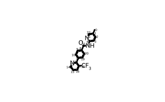 Cc1ccc(NC(=O)c2ccc(-c3ncccc3C(F)(F)F)cc2)nc1